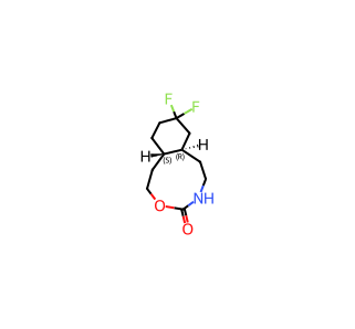 O=C1NCC[C@@H]2CC(F)(F)CC[C@H]2CCO1